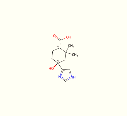 CC1(C)C[C@](O)(c2c[nH]cn2)CC[C@@H]1C(=O)O